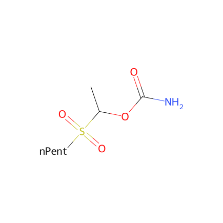 CCCCCS(=O)(=O)C(C)OC(N)=O